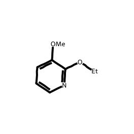 CCOc1ncccc1OC